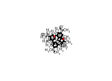 CC1=C(C)C(C)([Si](c2c(C)cc(N(C)C)c(C)c2N(C)C)(c2c(C)cc(N(C)C)c(C)c2N(C)C)c2c(C)cc(N(C)C)c(C)c2N(C)C)[C]([Ti+3])=C1C.[Cl-].[Cl-].[Cl-]